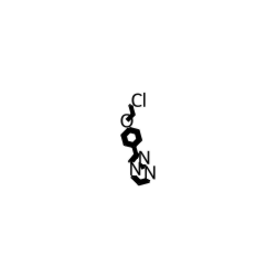 ClCCOc1ccc(-c2cn3cccnc3n2)cc1